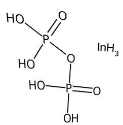 O=P(O)(O)OP(=O)(O)O.[InH3]